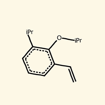 C=Cc1cccc(C(C)C)c1OC(C)C